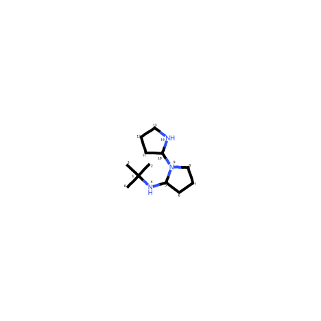 CC(C)(C)NC1CCCN1C1CCCN1